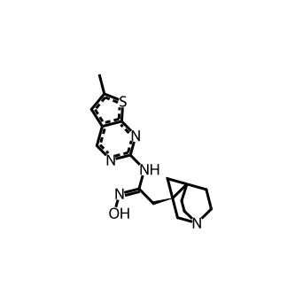 Cc1cc2cnc(N/C(C[C@]34CN5CCC3(CC5)C4)=N/O)nc2s1